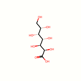 O=C(O)[C@H](O)[C@@H](O)[C@@H](O)[C@H](O)[C@@H](O)CO